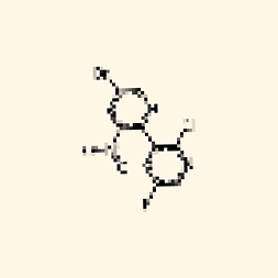 O=[N+]([O-])c1cc(Br)cnc1-c1cc(F)cnc1Cl